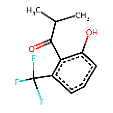 CC(C)C(=O)c1c(O)cccc1C(F)(F)F